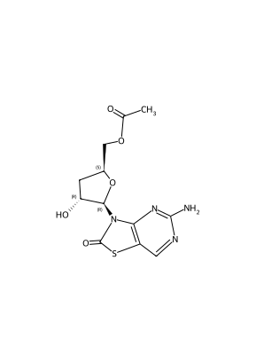 CC(=O)OC[C@@H]1C[C@@H](O)[C@H](n2c(=O)sc3cnc(N)nc32)O1